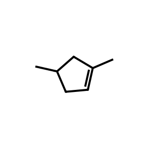 C[C]1CC=C(C)C1